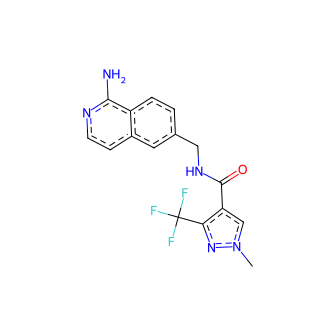 Cn1cc(C(=O)NCc2ccc3c(N)nccc3c2)c(C(F)(F)F)n1